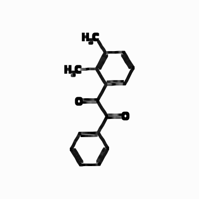 Cc1cccc(C(=O)C(=O)c2ccccc2)c1C